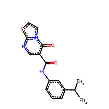 CC(C)c1cccc(NC(=O)c2cnc3sccn3c2=O)c1